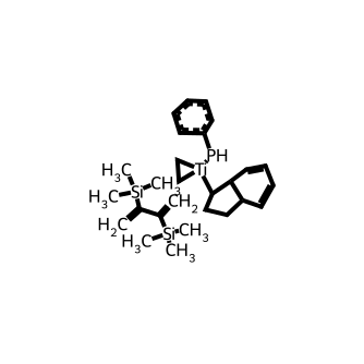 C1=CC2CC[CH]([Ti]3([PH]c4ccccc4)[CH2][CH2]3)C2C=C1.C=C(C(=C)[Si](C)(C)C)[Si](C)(C)C